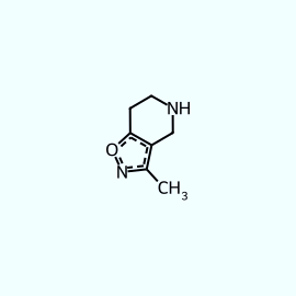 Cc1noc2c1CNCC2